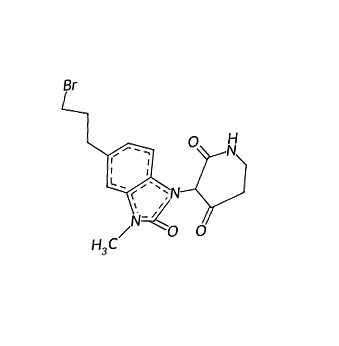 Cn1c(=O)n(C2C(=O)CCNC2=O)c2ccc(CCCBr)cc21